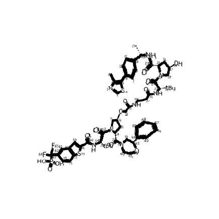 Cc1ncsc1-c1ccc([C@H](C)NC(=O)[C@@H]2C[C@@H](O)CN2C(=O)[C@@H](NC(=O)CCNC(=O)CO[C@H]2C[C@@H](C(=O)N3CCO[C@H](c4ccccc4)C3)N(C(=O)[C@@H](NC(=O)c3cc4cc(C(F)(F)P(=O)(O)O)ccc4s3)C(C)(C)C)C2)C(C)(C)C)cc1